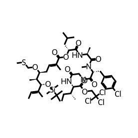 C/C=C(\C)[C@@H](O[Si](C)(C)C(C)(C)C)[C@@H](C)[C@H](C/C=C(\C)C(=O)O[C@H](CC(C)C)C(=O)N[C@@H](C)C(=O)N(C)[C@H](Cc1ccc(Cl)cc1)C(=O)N(C)CC(=O)N[C@H](C(=O)OCC(Cl)(Cl)Cl)[C@H](C)CC)OCSC